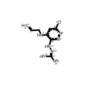 C=CCNc1cc(Cl)nnc1NN=C(CCC)CCC